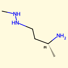 CNNCC[C@@H](C)N